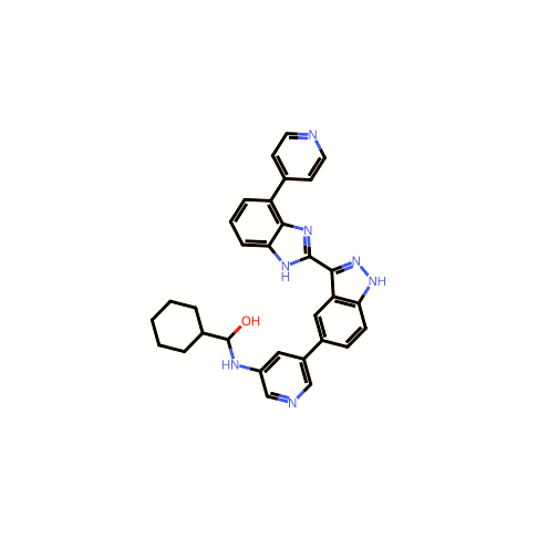 OC(Nc1cncc(-c2ccc3[nH]nc(-c4nc5c(-c6ccncc6)cccc5[nH]4)c3c2)c1)C1CCCCC1